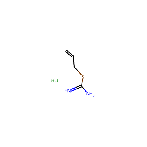 C=CCSC(=N)N.Cl